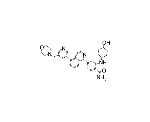 NC(=O)c1ccc(-c2nccc3c(-c4cncc(CN5CCOCC5)c4)cccc23)cc1NC1CCC(O)CC1